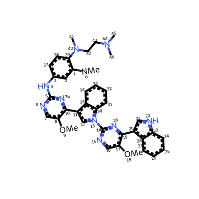 CNc1cc(Nc2ncc(OC)c(-c3cn(-c4ncc(OC)c(-c5c[nH]c6ccccc56)n4)c4ccccc34)n2)ccc1N(C)CCN(C)C